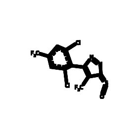 O=S=C1N=NC(c2c(Cl)cc(C(F)(F)F)cc2Cl)=C1C(F)(F)F